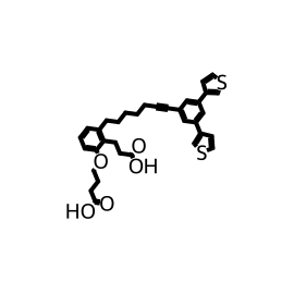 O=C(O)CCCOc1cccc(CCCCCC#Cc2cc(-c3ccsc3)cc(-c3ccsc3)c2)c1CCC(=O)O